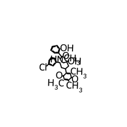 CC1=C(C)C(=O)C(C(CCc2cccc(Cl)c2)CC(C)(O)CNC(=O)c2ccccc2O)=C(C)C1=O